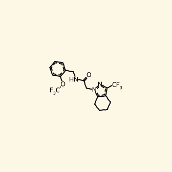 O=C(Cn1nc(C(F)(F)F)c2c1CCCC2)NCc1ccccc1OC(F)(F)F